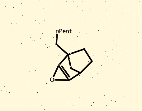 CCCCCCC12CCC(C1)C1=C2O1